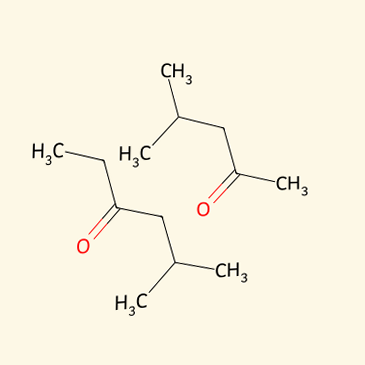 CC(=O)CC(C)C.CCC(=O)CC(C)C